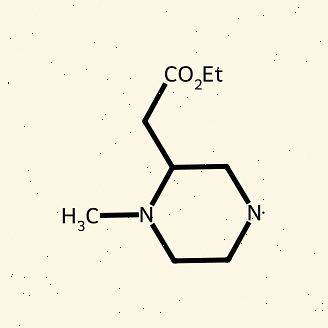 CCOC(=O)CC1C[N]CCN1C